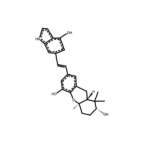 CC1(C)[C@H](O)CC[C@@]2(C)Oc3c(O)cc(/C=C/c4cc(O)c5cc[nH]c5c4)cc3C[C@H]12